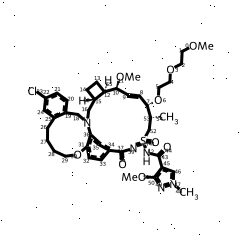 COCCOCCO[C@H]1/C=C/[C@H](OC)[C@@H]2CC[C@H]2CN2Cc3ccc(Cl)cc3CCCCOc3ccc(cc32)C(=O)N=S(=O)(NC(=O)c2cn(C)nc2OC)C[C@H]1C